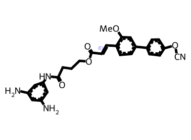 COc1cc(-c2ccc(OC#N)cc2)ccc1/C=C/C(=O)OCCCC(=O)Nc1cc(N)cc(N)c1